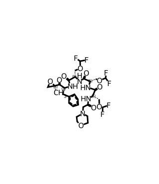 C[C@]1(C(=O)[C@H](Cc2ccccc2)NC(=O)[C@H](COC(F)F)NC(=O)[C@H](COC(F)F)NC(=O)[C@H](COC(F)F)NC(=O)CN2CCOCC2)CO1